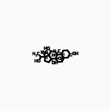 CC(O)[C@@]1(O)CC[C@]2(O)C3(O)CC=C4C[C@@H](O)CC[C@]4(C)[C@H]3C[C@@H](O)[C@]12C